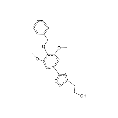 COc1cc(-c2nc(CCO)co2)cc(OC)c1OCc1ccccc1